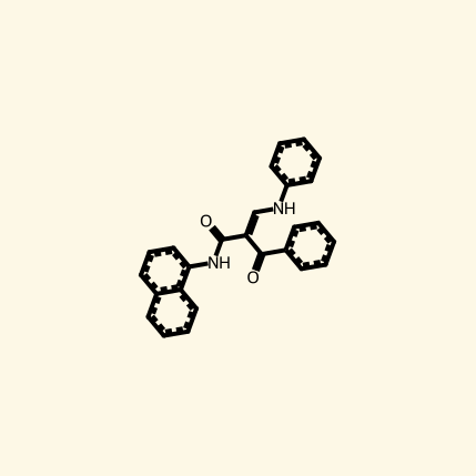 O=C(Nc1cccc2ccccc12)C(=CNc1ccccc1)C(=O)c1ccccc1